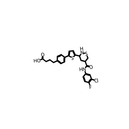 O=C(O)CCCc1ccc(-c2ccc(C3CC(C(=O)Nc4ccc(F)c(Cl)c4)CSN3)s2)cc1